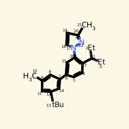 CCC(CC)c1ccc(-c2cc(C)cc(C(C)(C)C)c2)cc1-n1ccc(C)n1